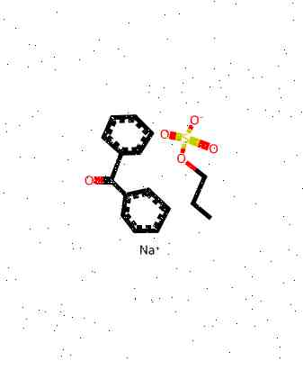 CCCOS(=O)(=O)[O-].O=C(c1ccccc1)c1ccccc1.[Na+]